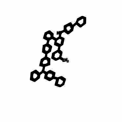 CC1C=C(C2=CC(c3ccccc3-c3ccc(-c4ccc(N(c5ccccc5)c5ccc(C6=CCCC=C6)cc5)cc4)cc3)C(Nc3ccc(C4C=CC=CC4)cc3)C=C2)C=CC1